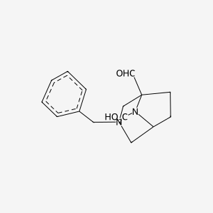 O=CC12CCC(CN(Cc3ccccc3)C1)N2C(=O)O